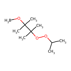 BOC(C)(C)C(C)(C)OOC(C)C